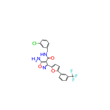 Nc1onc(-c2ccc(-c3cccc(C(F)(F)F)c3)o2)c1C(=O)NCc1cccc(Cl)c1